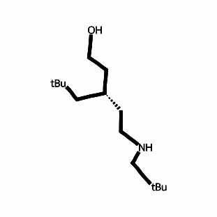 CC(C)(C)CNCC[C@@H](CCO)CC(C)(C)C